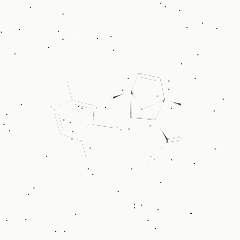 NC(=O)[C@H]1C(Nc2nc(Cl)ncc2Cl)[C@@H]2C=C[C@H]1C2